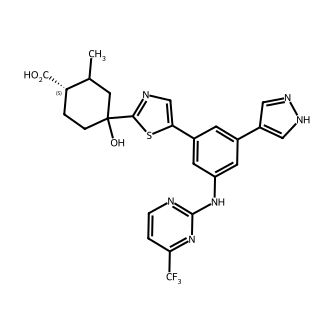 CC1CC(O)(c2ncc(-c3cc(Nc4nccc(C(F)(F)F)n4)cc(-c4cn[nH]c4)c3)s2)CC[C@@H]1C(=O)O